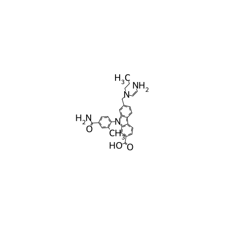 CCCN(/C=C\N)Cc1ccc2c3ccc(C(=O)O)cc3n(-c3ccc(C(N)=O)cc3C)c2c1